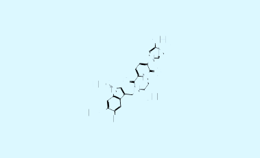 Cc1cn(-c2ccc3n(c2=O)C[C@@H](C)N(Cc2cn(C)c4cc(C(F)(F)F)c(F)cc24)C3=O)cn1